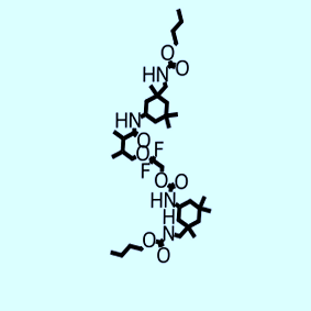 CCCCOC(=O)NCC1(C)CC(NC(=O)OCC(F)(F)OCC(C)C(C)C(=O)NC2CC(C)(C)CC(C)(CNC(=O)OCCCC)C2)CC(C)(C)C1